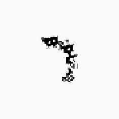 Cc1nc(NCCCS(C)(=O)=O)ccc1-c1ccc(F)c(COc2ccc3c(c2)CC2CC32)c1